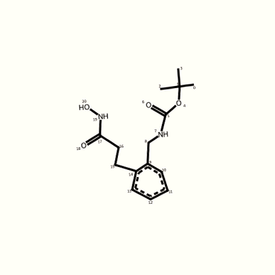 CC(C)(C)OC(=O)NCc1ccccc1CCC(=O)NO